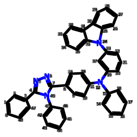 c1ccc(-c2nnc(-c3ccc(N(c4ccccc4)c4cccc(-n5c6ccccc6c6ccccc65)c4)cc3)n2-c2ccccc2)cc1